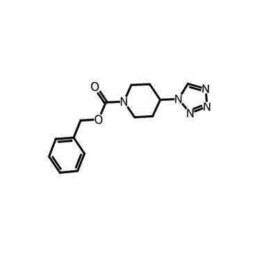 O=C(OCc1ccccc1)N1CCC(n2cnnn2)CC1